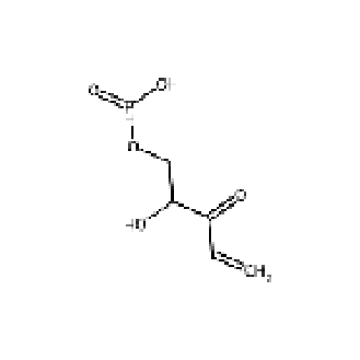 C=CC(=O)C(O)CO[PH](=O)O